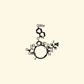 COc1ccc2c(O[C@@H]3C[C@H]4C(=O)N[C@]5(C(=O)NS(=O)(=O)C6(F)CC6)C[C@H]5/C=C\CC[C@@H](C)C[C@@H](C)[C@H](NC(=O)OCC(C)C)C(=O)N4C3)nccc2c1